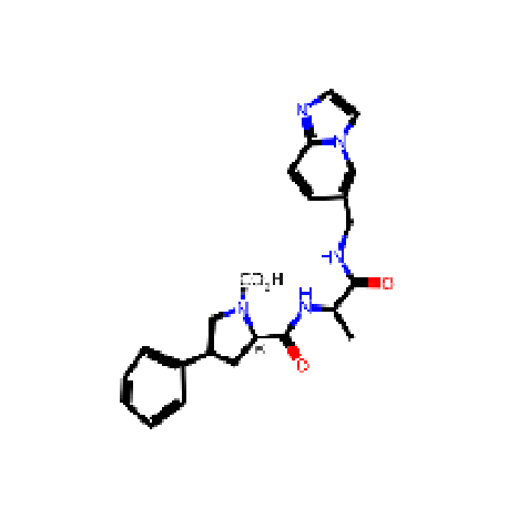 CC(NC(=O)[C@H]1CC(c2ccccc2)CN1C(=O)O)C(=O)NCc1ccc2nccn2c1